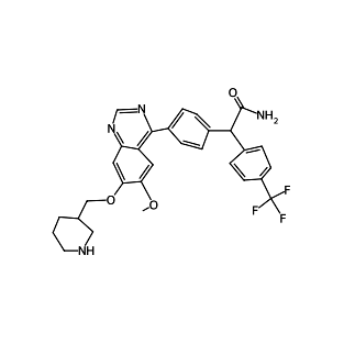 COc1cc2c(-c3ccc(C(C(N)=O)c4ccc(C(F)(F)F)cc4)cc3)ncnc2cc1OCC1CCCNC1